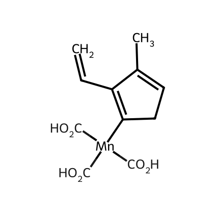 C=CC1=[C]([Mn]([C](=O)O)([C](=O)O)[C](=O)O)CC=C1C